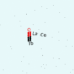 [Ce].[La].[O]=[Tb]